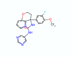 O=C(Nc1cncnc1)NC1(c2ccc(OC(F)(F)F)c(F)c2)CCOc2cccnc21